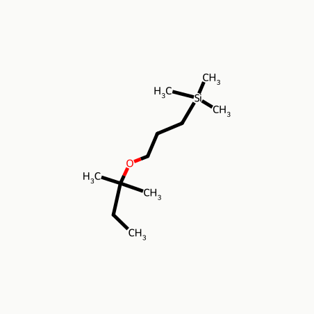 CCC(C)(C)OCCC[Si](C)(C)C